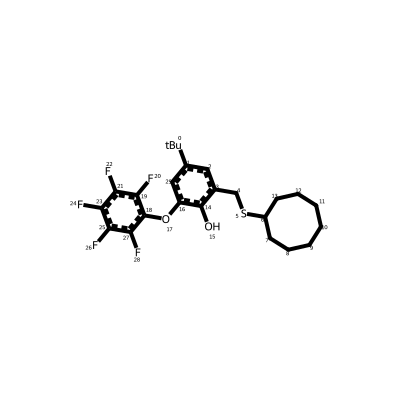 CC(C)(C)c1cc(CSC2CCCCCCC2)c(O)c(Oc2c(F)c(F)c(F)c(F)c2F)c1